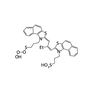 CCC(=Cc1sc2ccc3ccccc3c2[n+]1CCCS(=O)(=O)O)C=C1Sc2ccc3ccccc3c2N1CCCSOOO